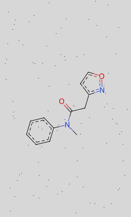 CN(C(=O)Cc1ccon1)c1ccccc1